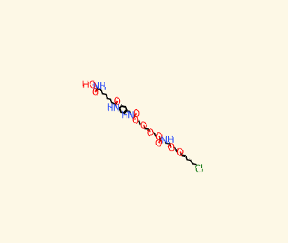 O=C(CCCCCCC(=O)Nc1ccc(CNC(=O)OCCOCCOCCOC(=O)NCCOCCOCCCCCCCl)cc1)NO